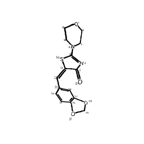 O=C1N=C(N2CCOCC2)SC1=Cc1ccc2c(c1)OCO2